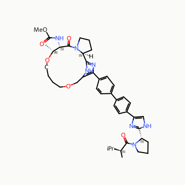 COC(=O)N[C@@H]1C(=O)N2CCC[C@H]2c2nc(-c3ccc(-c4ccc(-c5c[nH]c([C@@H]6CCCN6C(=O)[C@@H](C)C(C)C)n5)cc4)cc3)c([nH]2)COCCCCO[C@@H]1C